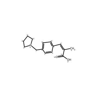 CC(=Cc1ccc(CN2CCCC2)cc1)C(=O)O